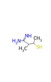 CC(S)C(C)C(=N)N